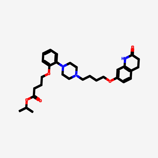 CC(C)OC(=O)CCCOc1ccccc1N1CCN(CCCCOc2ccc3c(c2)NC(=O)CC3)CC1